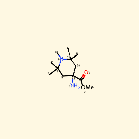 COC(=O)C1(N)CC(C)(C)N(C)C(C)(C)C1